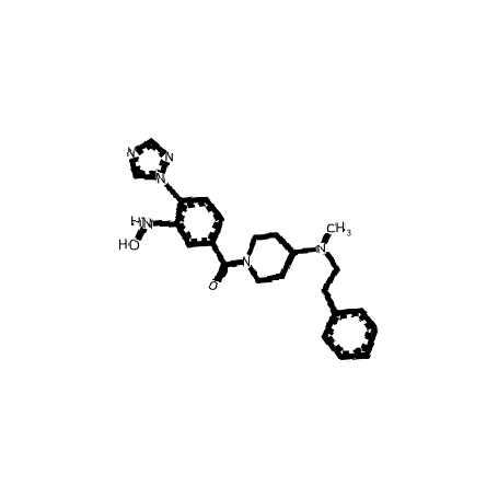 CN(CCc1ccccc1)C1CCN(C(=O)c2ccc(-n3cncn3)c(NO)c2)CC1